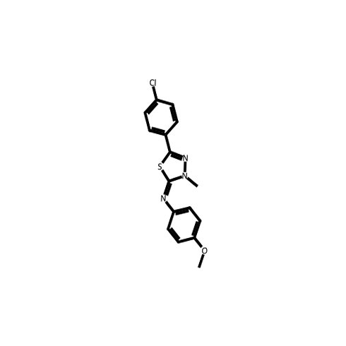 COc1ccc(/N=c2/sc(-c3ccc(Cl)cc3)nn2C)cc1